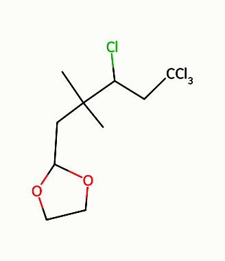 CC(C)(CC1OCCO1)C(Cl)CC(Cl)(Cl)Cl